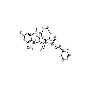 Cc1cc(F)cc(C)c1NC(=O)C1([N+]2(CC(=O)OCc3ccccc3)CCCCCC2)CC1